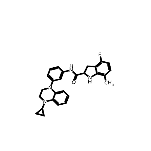 Cc1ccc(F)c2c1NC(C(=O)Nc1cccc(N3CCN(C4CC4)c4ccccc43)c1)C2